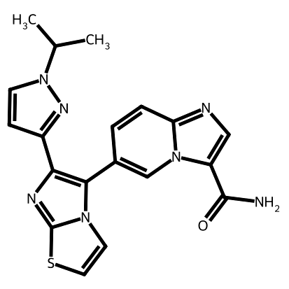 CC(C)n1ccc(-c2nc3sccn3c2-c2ccc3ncc(C(N)=O)n3c2)n1